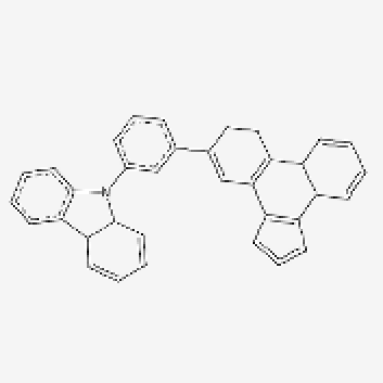 C1=CC2=C(C=1)C1C=CC=CC1C1=C2C=C(c2cccc(N3c4ccccc4C4C=CC=CC43)c2)CC1